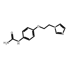 NC(=O)Nc1ccc(OCCn2ccnc2)cc1